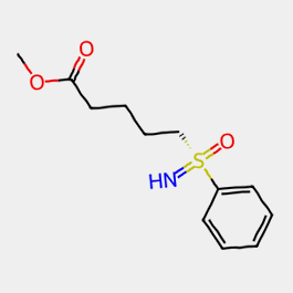 COC(=O)CCCC[S@](=N)(=O)c1ccccc1